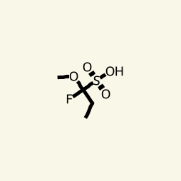 CCC(F)(OC)S(=O)(=O)O